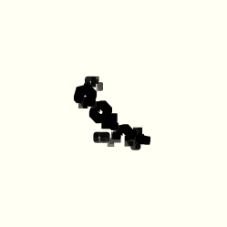 Cc1nc(CN(C(=O)O)C2CC3(CCN(c4cc(C(F)(F)F)ccn4)CC3)C2)no1